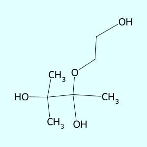 CC(C)(O)C(C)(O)OCCO